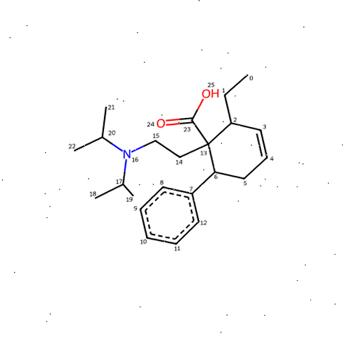 CCC1C=CCC(c2ccccc2)C1(CCN(C(C)C)C(C)C)C(=O)O